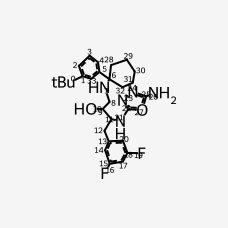 CC(C)(C)c1cccc(C2(NCC(O)C(Cc3cc(F)cc(F)c3)Nc3nnc(N)o3)CCCCC2)c1